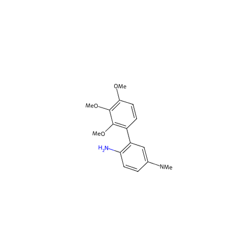 CNc1ccc(N)c(-c2ccc(OC)c(OC)c2OC)c1